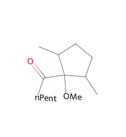 CCCCCC(=O)C1(OC)C(C)CCC1C